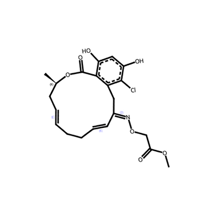 COC(=O)CO/N=C1\C=C\CC/C=C/C[C@@H](C)OC(=O)c2c(O)cc(O)c(Cl)c2C1